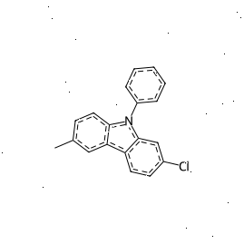 Cc1ccc2c(c1)c1ccc(Cl)cc1n2-c1ccccc1